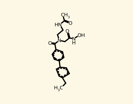 CCc1ccc(-c2ccc(C(=O)N(CCNC(C)=O)CC(=O)NO)cc2)cc1